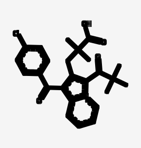 CC(C)(C)C(=O)c1c(CC(C)(C)C(=O)O)c(C(=O)c2ccc(Cl)cc2)c2ccccn12